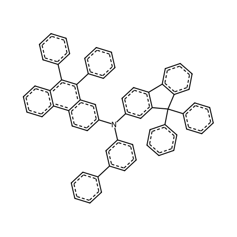 c1ccc(-c2cccc(N(c3ccc4c(c3)C(c3ccccc3)(c3ccccc3)c3ccccc3-4)c3ccc4c(c3)c(-c3ccccc3)c(-c3ccccc3)c3ccccc34)c2)cc1